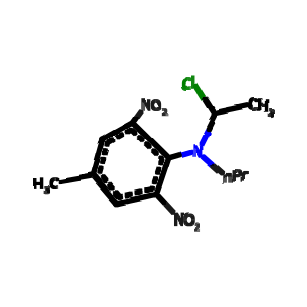 CCCN(c1c([N+](=O)[O-])cc(C)cc1[N+](=O)[O-])C(C)Cl